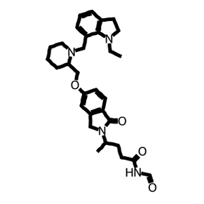 CCN1CCc2cccc(CN3CCCCC3COc3ccc4c(c3)CN(C(C)CCC(=O)NC=O)C4=O)c21